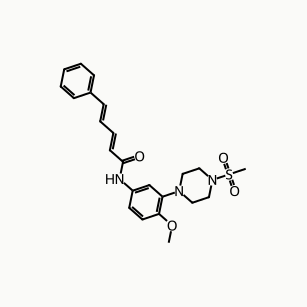 COc1ccc(NC(=O)/C=C/C=C/c2ccccc2)cc1N1CCN(S(C)(=O)=O)CC1